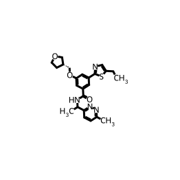 CCc1cnc(-c2cc(OC[C@@H]3CCOC3)cc(C(=O)NC(C)c3ccc(C)nn3)c2)s1